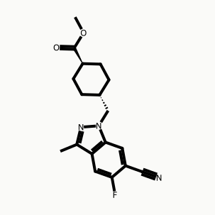 COC(=O)[C@H]1CC[C@H](Cn2nc(C)c3cc(F)c(C#N)cc32)CC1